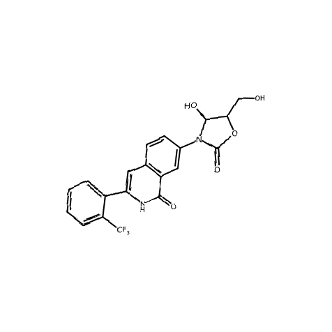 O=C1OC(CO)C(O)N1c1ccc2cc(-c3ccccc3C(F)(F)F)[nH]c(=O)c2c1